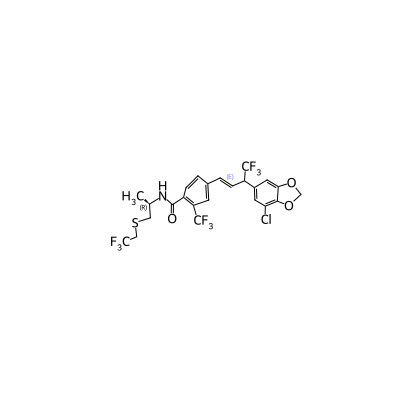 C[C@H](CSCC(F)(F)F)NC(=O)c1ccc(/C=C/C(c2cc(Cl)c3c(c2)OCO3)C(F)(F)F)cc1C(F)(F)F